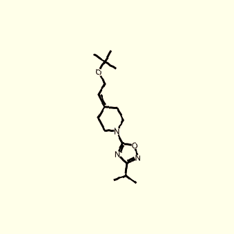 CC(C)c1noc(N2CCC(=CCOC(C)(C)C)CC2)n1